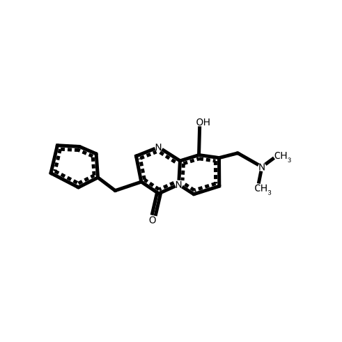 CN(C)Cc1ccn2c(=O)c(Cc3ccccc3)cnc2c1O